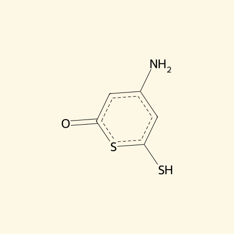 Nc1cc(S)sc(=O)c1